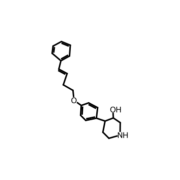 OC1CNCCC1c1ccc(OCC/C=C/c2ccccc2)cc1